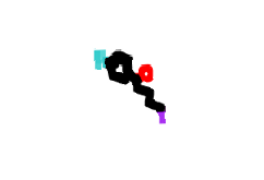 O=C(CCCCI)c1ccc(F)cc1